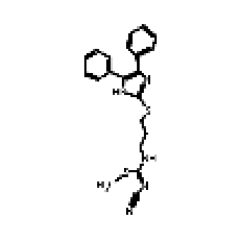 CS/C(=N\C#N)NCCCSc1nc(-c2ccccc2)c(-c2ccccc2)[nH]1